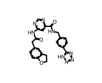 O=C(Cc1ccc2c(c1)CCO2)Nc1cc(C(=O)NCc2ccc(-c3nnn[nH]3)cc2)ncn1